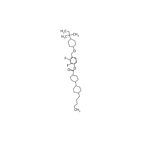 CCCCCC1CCC(C2CCC(C(=O)Oc3ccc(COC4CCC(C(C)(C)CC)CC4)c(F)c3F)CC2)CC1